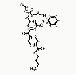 CCCCOC(=O)N1CCN(C(=O)[C@@H](CCCP(=O)(OCC)OCC)NC(=O)OCc2ccccc2)CC1